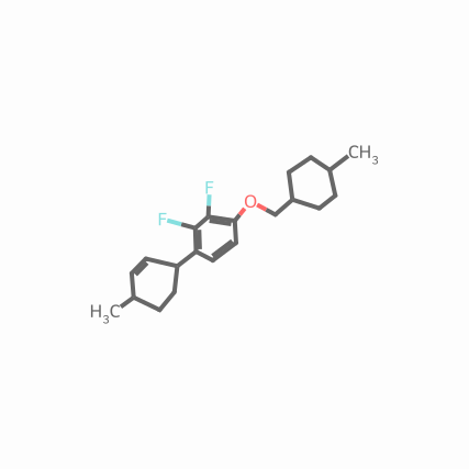 CC1C=CC(c2ccc(OCC3CCC(C)CC3)c(F)c2F)CC1